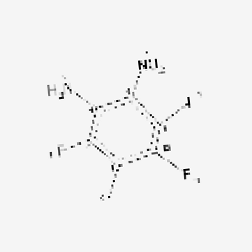 Cc1c(F)c(N)c([N+](=O)[O-])c(F)c1F